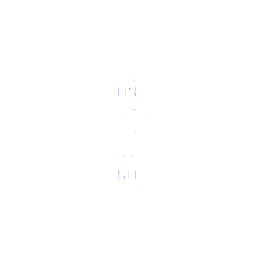 CCC(N)C(=O)O[C@H]1COC2C1OC[C@H]2OC(=O)C(CC)NC=O